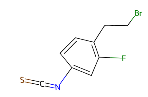 Fc1cc(N=C=S)ccc1CCBr